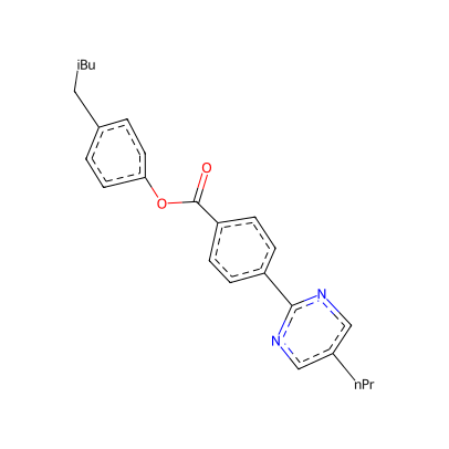 CCCc1cnc(-c2ccc(C(=O)Oc3ccc(CC(C)CC)cc3)cc2)nc1